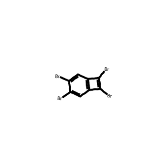 BrC1=C(Br)c2cc(Br)c(Br)cc21